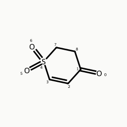 O=C1C=CS(=O)(=O)CC1